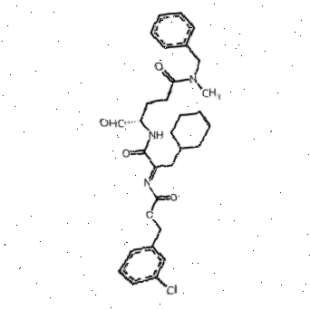 CN(Cc1ccccc1)C(=O)CC[C@@H](C=O)NC(=O)/C(CC1CCCCC1)=N/C(=O)OCc1cccc(Cl)c1